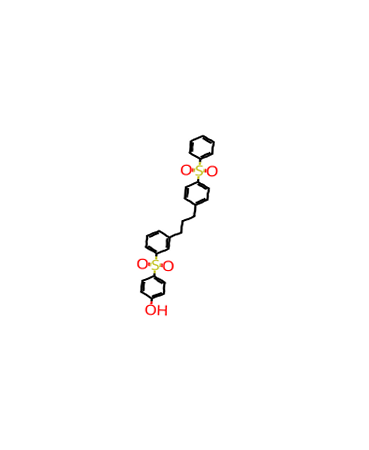 O=S(=O)(c1ccccc1)c1ccc(CCCc2cccc(S(=O)(=O)c3ccc(O)cc3)c2)cc1